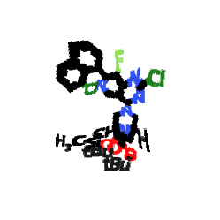 CC(C)(C)OC(=O)N1C2CN(c3nc(Cl)nc4c(F)c(-c5cccc6cccc(Cl)c56)ncc34)C[C@H]1CC2O[Si](C)(C)C(C)(C)C